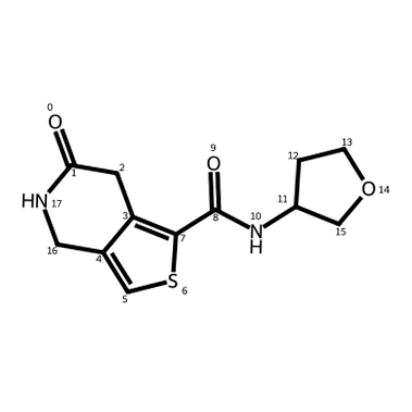 O=C1Cc2c(csc2C(=O)NC2CCOC2)CN1